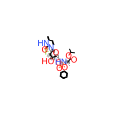 C=C1C=CN([C@@H]2O[C@H](COP(=O)(N[C@@H](C)C(=O)OC(C)C)Oc3ccccc3)[C@@H](O)[C@@]2(C)F)C(=O)N1